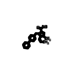 C/C=C\c1c(C)cc(C(=O)N=O)n1Cc1ccc(-c2ccccc2)cc1